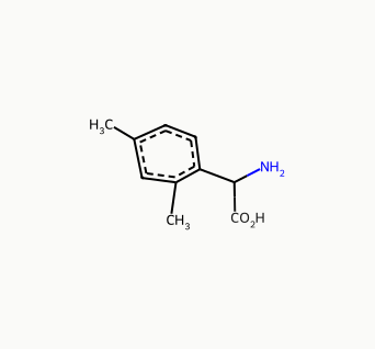 Cc1ccc(C(N)C(=O)O)c(C)c1